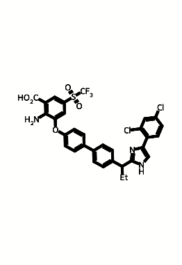 CCC(c1ccc(-c2ccc(Oc3cc(S(=O)(=O)C(F)(F)F)cc(C(=O)O)c3N)cc2)cc1)c1nc(-c2ccc(Cl)cc2Cl)c[nH]1